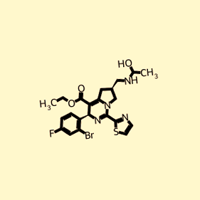 CCOC(=O)C1=C2C[C@@H](CNC(C)O)CN2C(c2nccs2)=N[C@H]1c1ccc(F)cc1Br